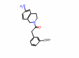 COc1cccc(CC(=O)N2CCc3cc(N)ccc3C2)c1